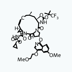 COCCOc1cnc(O[C@@H]2C[C@H]3C(=O)N[C@]4(C(=O)NS(=O)(=O)C5CC5)C[C@H]4/C=C\CC[C@@H](C)C[C@@H](C)[C@H](NC(=O)OC(C)(C)C(F)(F)F)C(=O)N3C2)c2ccc(OC)cc12